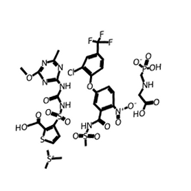 COc1nc(C)nc(NC(=O)NS(=O)(=O)c2ccsc2C(=O)O)n1.CS(=O)(=O)NC(=O)c1cc(Oc2ccc(C(F)(F)F)cc2Cl)ccc1[N+](=O)[O-].C[S+](C)C.O=C(O)CNCP(=O)([O-])O